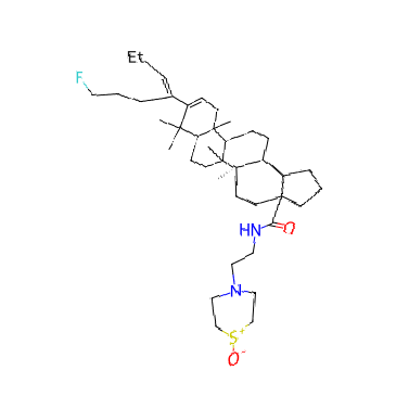 CC/C=C(\CCCF)C1=CCC2(C)C(CCC3(C)C2CCC2C4CCCC4(C(=O)NCCN4CC[S+]([O-])CC4)CC[C@]23C)C1(C)C